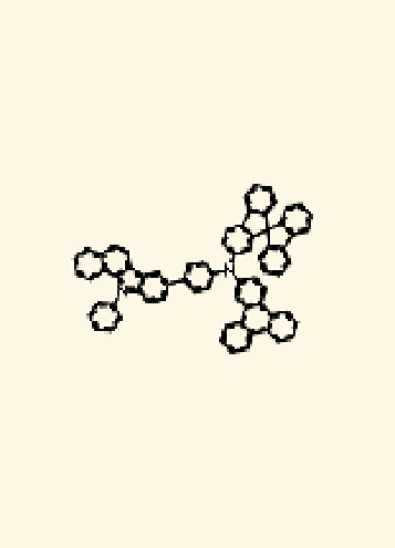 c1ccc(-n2c3ccc(-c4ccc(N(c5ccc6c(c5)C5(c7ccccc7-c7ccccc75)c5ccccc5-6)c5ccc6c7ccccc7c7ccccc7c6c5)cc4)cc3c3ccc4ccccc4c32)cc1